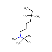 CCC(C)(C)CCCCN(C)C(C)(C)C